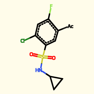 CC(=O)c1cc(S(=O)(=O)NC2CC2)c(Cl)cc1F